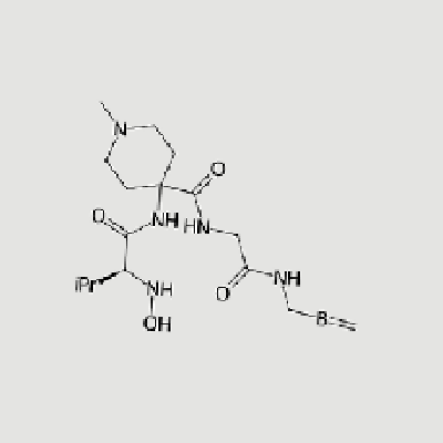 C=BCNC(=O)CNC(=O)C1(NC(=O)[C@@H](NO)C(C)C)CCN(C)CC1